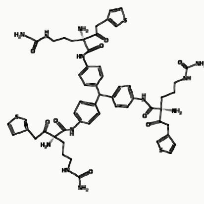 NC(=O)NCCC[C@@](N)(C(=O)Cc1ccsc1)C(=O)Nc1ccc(C(c2ccc(NC(=O)[C@@](N)(CCCNC(N)=O)C(=O)Cc3ccsc3)cc2)c2ccc(NC(=O)[C@@](N)(CCCNC(N)=O)C(=O)Cc3ccsc3)cc2)cc1